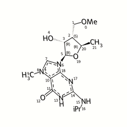 COC[C@H]1[C@@H](O)[C@H](n2c[n+](C)c3c(=O)[nH]c(NC(C)C)nc32)O[C@@H]1C